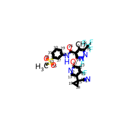 Cc1c(C(F)(F)F)nnc(Oc2ncc(C3(C#N)CC3)c(F)c2F)c1C(=O)Nc1cccc(S(C)(=O)=O)c1